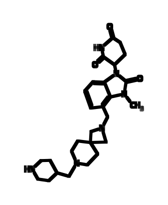 Cn1c(=O)n(C2CCC(=O)NC2=O)c2cccc(CN3CC4(CCN(CC5CCNCC5)CC4)C3)c21